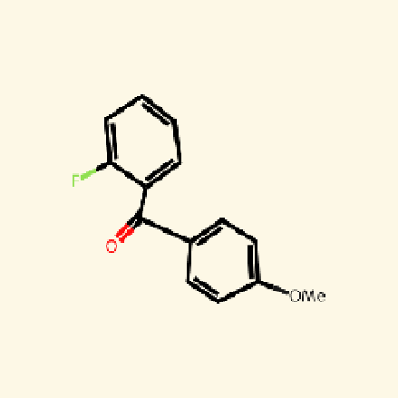 COc1ccc(C(=O)c2ccccc2F)cc1